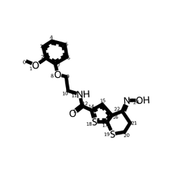 COc1ccccc1OCCNC(=O)c1cc2c(s1)SCCC2=NO